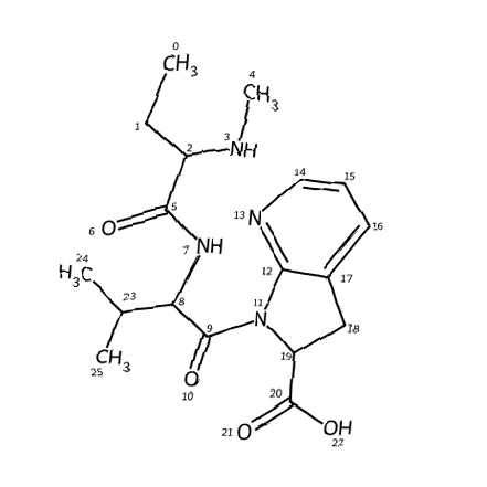 CCC(NC)C(=O)NC(C(=O)N1c2ncccc2CC1C(=O)O)C(C)C